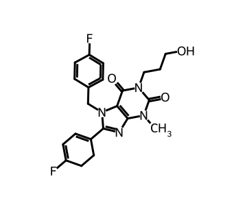 Cn1c(=O)n(CCCO)c(=O)c2c1nc(C1=CC=C(F)CC1)n2CC1=C=C=C(F)C=C1